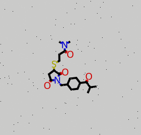 CC(C)C(=O)C1CCC(CN2C(=O)CC(SCCC(=O)N(C)C)C2=O)CC1